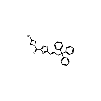 N#CC1CN(C(=O)c2csc(C=CSC(c3ccccc3)(c3ccccc3)c3ccccc3)n2)C1